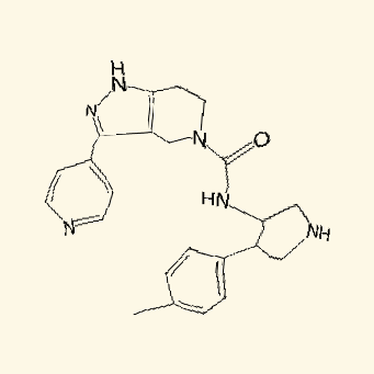 Cc1ccc(C2CNCC2NC(=O)N2CCc3[nH]nc(-c4ccncc4)c3C2)cc1